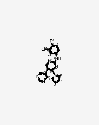 Fc1ccc(Nc2ncc(-c3cncnc3)c(-n3cccc3)n2)cc1Cl